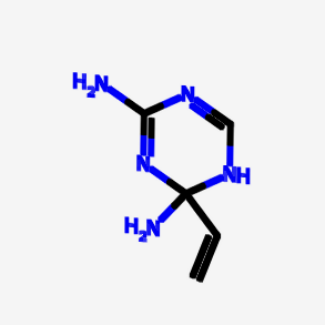 C=CC1(N)N=C(N)N=CN1